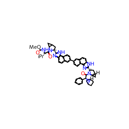 COC(=O)N[C@H](C(=O)N1C2CC2C[C@H]1c1nc2ccc3cc(-c4ccc5c(ccc6[nH]c([C@@H]7C[C@H]8C[C@H]8N7C(=O)C(c7ccccc7)N7C8CCC7CC8)nc65)c4)ccc3c2[nH]1)C(C)C